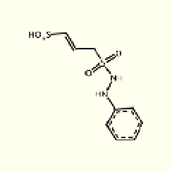 O=S(=O)(O)C=CCS(=O)(=O)NNc1ccccc1